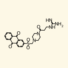 N=C(N)NCCC(=O)N1CCN(CS(=O)(=O)c2ccc3c(c2)C(=O)c2ccccc2C3=O)CC1